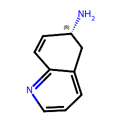 N[C@H]1C=Cc2ncccc2C1